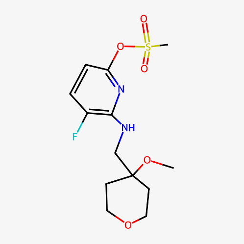 COC1(CNc2nc(OS(C)(=O)=O)ccc2F)CCOCC1